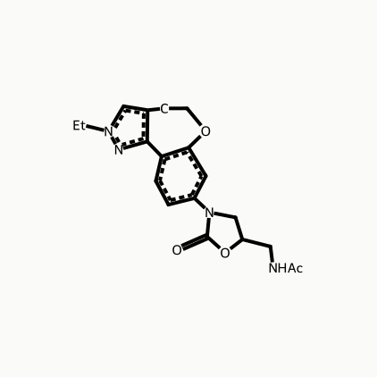 CCn1cc2c(n1)-c1ccc(N3CC(CNC(C)=O)OC3=O)cc1OCC2